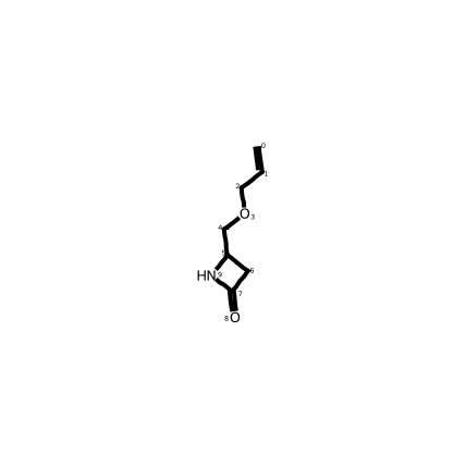 C=CCO[CH]C1CC(=O)N1